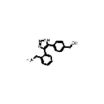 NCc1ccccc1-c1nn[nH]c1-c1ccc(CO)cc1